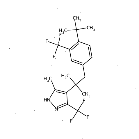 Cc1[nH]nc(C(F)(F)F)c1C(C)(C)Cc1ccc(C(C)(C)C)c(C(F)(F)F)c1